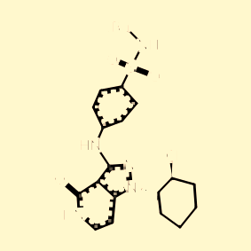 C[C@H]1CCCC[C@@H]1n1nc(Nc2ccc(S(=O)(=O)NC(C)(C)C)cc2)c2c(=O)[nH]ccc21